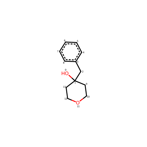 OC1(Cc2ccccc2)CCOCC1